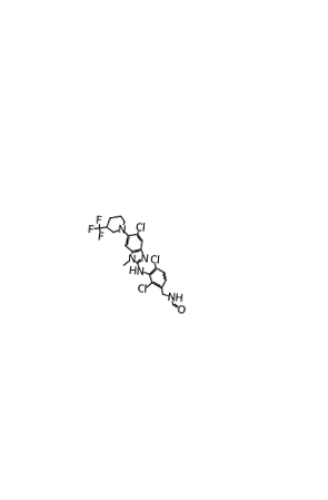 Cn1c(Nc2c(Cl)ccc(CNC=O)c2Cl)nc2cc(Cl)c(N3CCCC(C(F)(F)F)C3)cc21